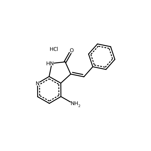 Cl.Nc1ccnc2c1C(=Cc1ccccc1)C(=O)N2